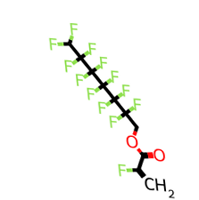 C=C(F)C(=O)OCC(F)(F)C(F)(F)C(F)(F)C(F)(F)C(F)(F)C(F)F